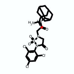 NC(=O)C12CC3CC(C1)C(NC(=O)CN1CC(=O)N(c4c(Cl)cc(Cl)cc4Cl)S1(=O)=O)C(C3)C2